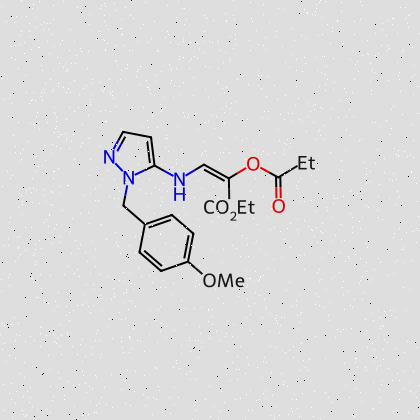 CCOC(=O)/C(=C\Nc1ccnn1Cc1ccc(OC)cc1)OC(=O)CC